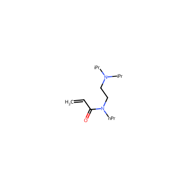 C=CC(=O)N(CCC)CCN(C(C)C)C(C)C